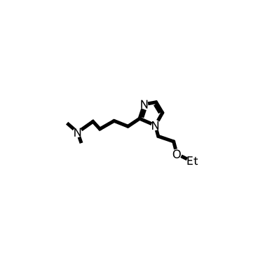 CCOCCn1ccnc1CCCCN(C)C